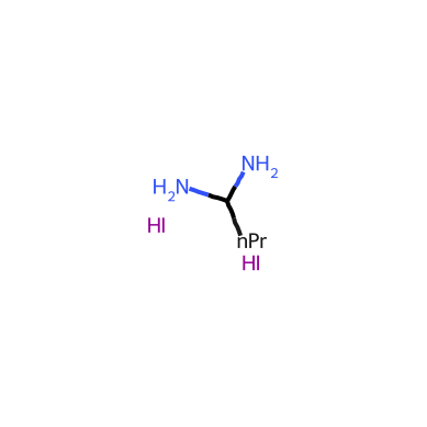 CCCC(N)N.I.I